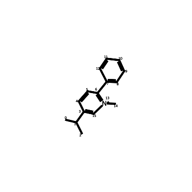 CC(C)c1ccc(-c2ccccc2)[n+](C)c1